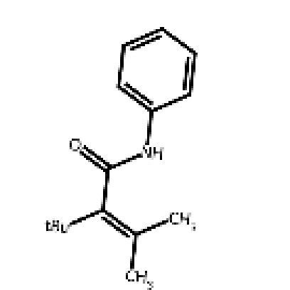 CC(C)=C(C(=O)Nc1ccccc1)C(C)(C)C